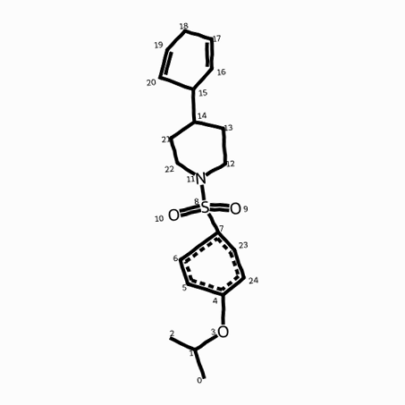 CC(C)Oc1ccc(S(=O)(=O)N2CCC(C3C=CCC=C3)CC2)cc1